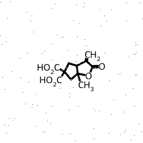 C=C1C(=O)OC2(C)CC(C(=O)O)(C(=O)O)CC12